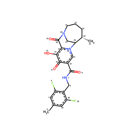 Cc1cc(F)c(CNC(=O)c2cn3c(c(O)c2=O)C(=O)N2CCC[C@H](C)C3C2)c(F)c1